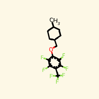 CC1CCC(COc2c(F)c(F)c(C(F)(F)F)c(F)c2F)CC1